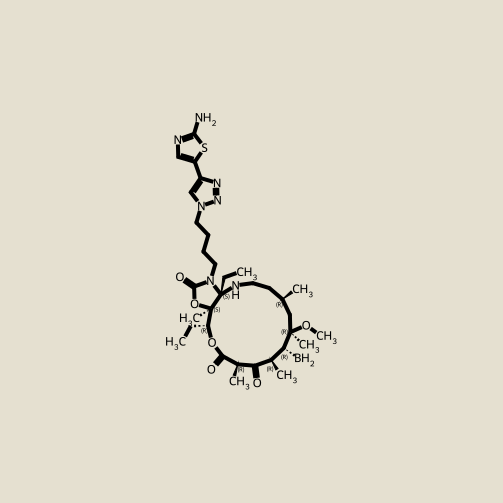 B[C@@H]1[C@@H](C)C(=O)[C@@H](C)C(=O)O[C@H](CC)[C@@]2(C)OC(=O)N(CCCCn3cc(-c4cnc(N)s4)nn3)[C@]2(CC)NCC[C@@H](C)C[C@@]1(C)OC